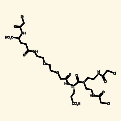 O=C(O)CC[C@H](NC(=O)COCCOCCNC(=O)CCC(NC(=O)CBr)C(=O)O)C(=O)N(CCNC(=O)CCl)CCNC(=O)CCl